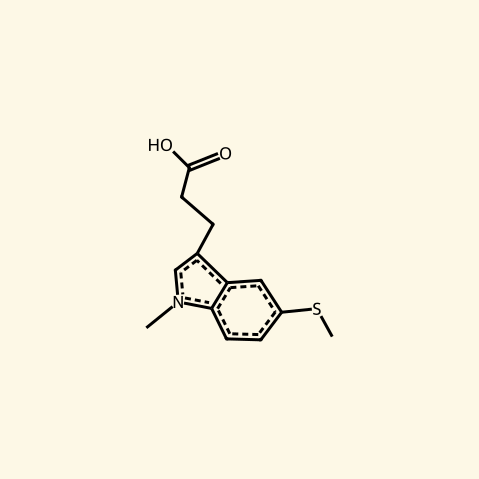 CSc1ccc2c(c1)c(CCC(=O)O)cn2C